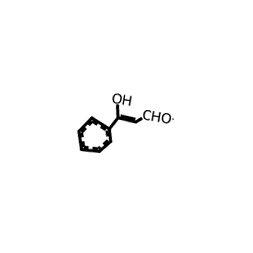 O=[C]C=C(O)c1ccccc1